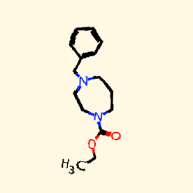 CCOC(=O)N1CCCN(Cc2ccccc2)CC1